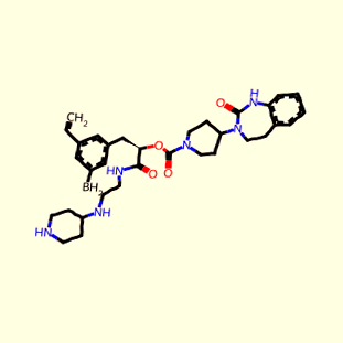 Bc1cc(C=C)cc(C[C@@H](OC(=O)N2CCC(N3CCc4ccccc4NC3=O)CC2)C(=O)NCCNC2CCNCC2)c1